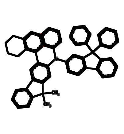 CC1(C)c2ccccc2-c2cc(-c3cccc4c3CCCC4)c(N(c3ccccc3)c3ccc4c(c3)C(c3ccccc3)(c3ccccc3)c3ccccc3-4)cc21